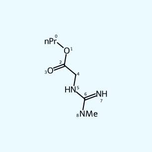 CCCOC(=O)CNC(=N)NC